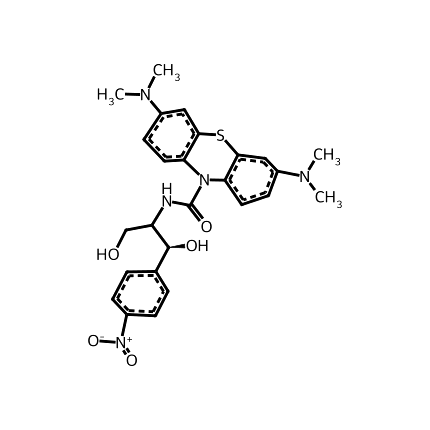 CN(C)c1ccc2c(c1)Sc1cc(N(C)C)ccc1N2C(=O)NC(CO)[C@@H](O)c1ccc([N+](=O)[O-])cc1